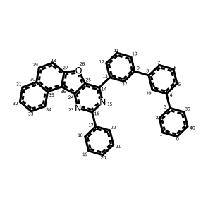 c1ccc(-c2cccc(-c3cccc(-c4nc(-c5ccccc5)nc5c4oc4ccc6ccccc6c45)c3)c2)cc1